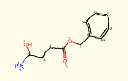 NC(O)CCC(=O)OCc1ccccc1